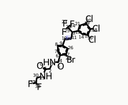 O=C(CNC(=O)c1ccc(/C=C/C(c2cc(Cl)c(Cl)c(Cl)c2)C(F)(F)F)cc1Br)NCC(F)F